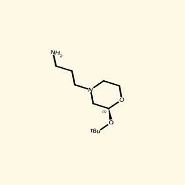 CC(C)(C)O[C@H]1CN(CCCN)CCO1